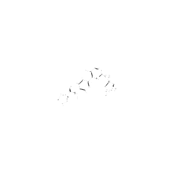 Cc1cnc(Nc2cnn(C)c2)nc1-c1ccc(NC(=O)N2CCCC2)cc1